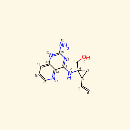 C=C[C@@H]1C[C@@]1(CO)Nc1nc(N)nc2cccnc12